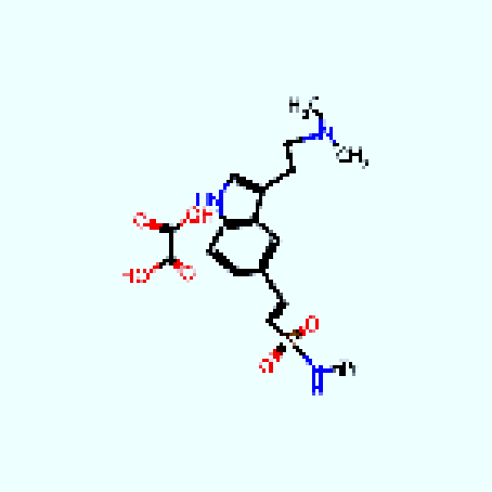 CC(C)NS(=O)(=O)/C=C/c1ccc2[nH]cc(CCN(C)C)c2c1.O=C(O)C(=O)O